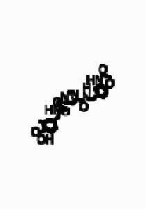 Cc1cc(CNS(=O)(=O)c2cc(C(=O)NCc3ccc4c(c3)NC(=O)CO4)ncn2)ccc1C(=O)O